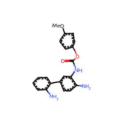 COc1ccc(OC(=O)Nc2cc(-c3ccccc3N)ccc2N)cc1